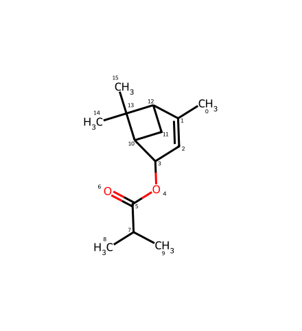 CC1=CC(OC(=O)C(C)C)C2CC1C2(C)C